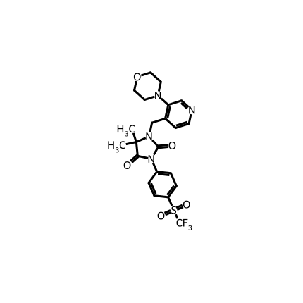 CC1(C)C(=O)N(c2ccc(S(=O)(=O)C(F)(F)F)cc2)C(=O)N1Cc1ccncc1N1CCOCC1